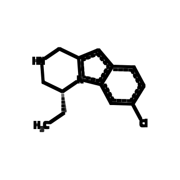 CC[C@@H]1CNCc2cc3ccc(Cl)cc3n21